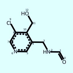 O=CNCc1cncc(Cl)c1CO